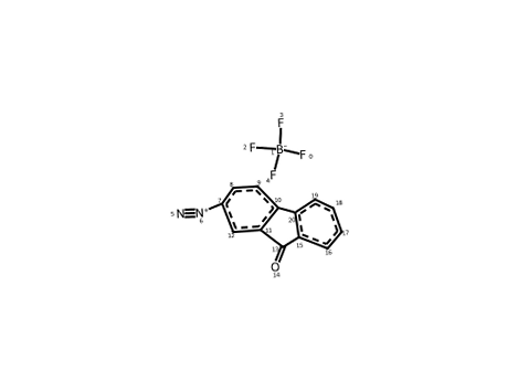 F[B-](F)(F)F.N#[N+]c1ccc2c(c1)C(=O)c1ccccc1-2